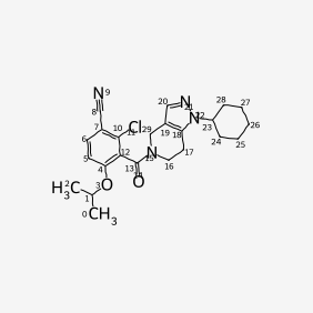 CC(C)Oc1ccc(C#N)c(Cl)c1C(=O)N1CCc2c(cnn2C2CCCCC2)C1